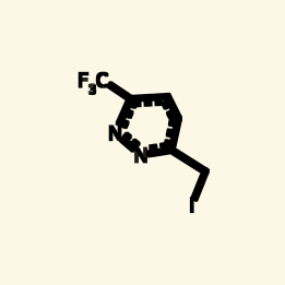 FC(F)(F)c1ccc(CI)nn1